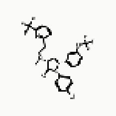 CN(CCc1cccc(C(F)(F)F)n1)[C@@H]1C[C@H](c2cccc(OC(F)(F)F)c2)N(c2ccc(Cl)cc2)C1=O